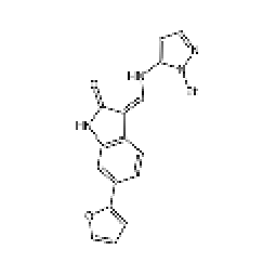 CCn1nccc1NC=C1C(=O)Nc2cc(-c3ccco3)ccc21